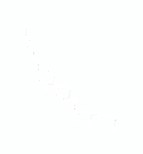 CCCCCCCCCc1ccc(-c2ccc(OCC(C)OC(=O)CCCC(C)=O)cc2)nc1